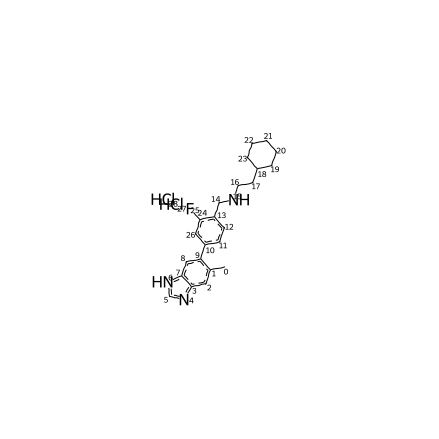 Cc1cc2nc[nH]c2cc1-c1ccc(CNCCC2CCCCC2)c(F)c1.Cl.Cl